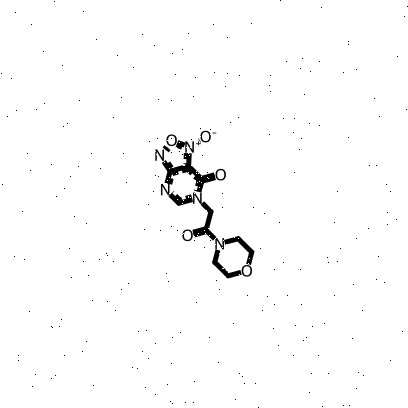 O=C(Cn1cnc2no[n+]([O-])c2c1=O)N1CCOCC1